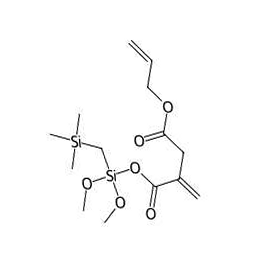 C=CCOC(=O)CC(=C)C(=O)O[Si](C[Si](C)(C)C)(OC)OC